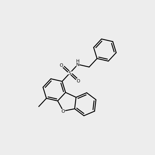 Cc1ccc(S(=O)(=O)NCc2ccccc2)c2c1oc1ccccc12